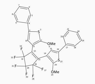 COc1sc(-c2ccccc2)cc1C1=C(c2cc(-c3ccccc3)sc2OC)C(F)(F)C(F)(F)C1(F)F